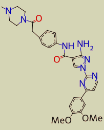 COc1ccc(-c2ccnc(-n3cc(C(=O)Nc4ccc(CC(=O)N5CCN(C)CC5)cc4)c(N)n3)n2)cc1OC